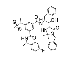 CC(c1cc(C(=O)N[C@@H](Cc2ccccc2)C(O)C2NC(C)(C)N(Cc3ccccc3)C2=O)cc(C(=O)N[C@H](C)c2ccc(F)cc2)c1)S(C)(=O)=O